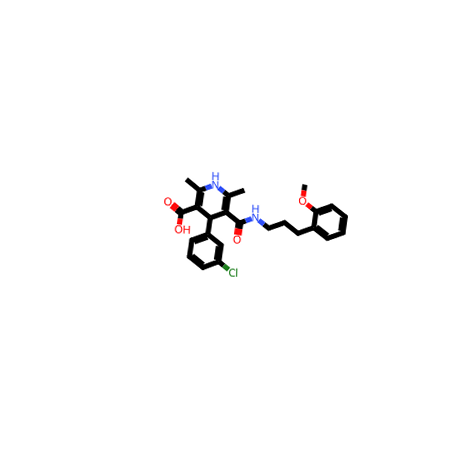 COc1ccccc1CCCNC(=O)C1=C(C)NC(C)=C(C(=O)O)C1c1cccc(Cl)c1